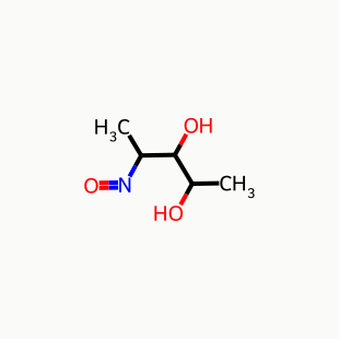 CC(O)C(O)C(C)N=O